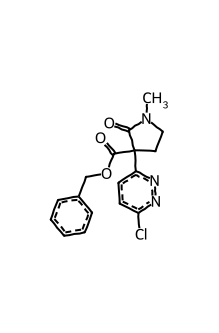 CN1CCC(C(=O)OCc2ccccc2)(c2ccc(Cl)nn2)C1=O